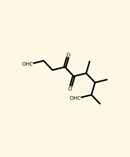 CC(C=O)C(C)C(C)C(=O)C(=O)CCC=O